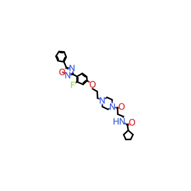 O=C(NCCC(=O)N1CCN(CCCOc2ccc(-c3noc(-c4ccccc4)n3)c(F)c2)CC1)C1CCCC1